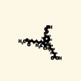 COC(=O)CCCCCC1(C)C(C)=[N+](CCCCCC(=O)O)c2ccc(SOOO)cc21